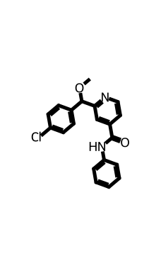 COC(c1ccc(Cl)cc1)c1cc(C(=O)Nc2ccccc2)ccn1